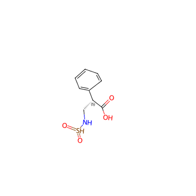 O=C(O)[C@H](CN[SH](=O)=O)c1ccccc1